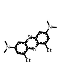 CCc1cc(N(C)C)cc2[s+]c3cc(N(C)C)cc(CC)c3nc12